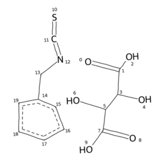 O=C(O)C(O)C(O)C(=O)O.S=C=NCc1ccccc1